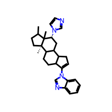 CC1CC[C@]2(C)C3CCC4C(n5cnc6ccccc65)=CCC4C3C[C@@H](n3ccnc3)C12C